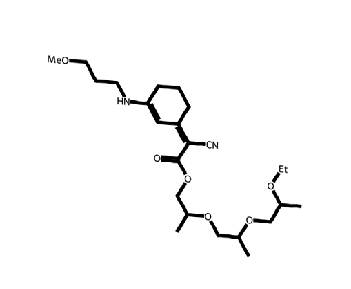 CCOC(C)COC(C)COC(C)COC(=O)/C(C#N)=C1\C=C(NCCCOC)CCC1